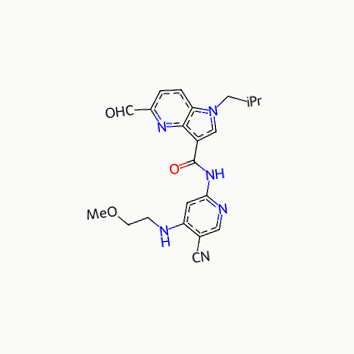 COCCNc1cc(NC(=O)c2cn(CC(C)C)c3ccc(C=O)nc23)ncc1C#N